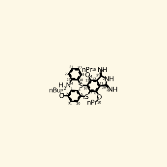 CCCCOc1ccc(Sc2c(OCCC)c3c(c(OCCC)c2Sc2ccccc2N)C(=N)NC3=N)cc1